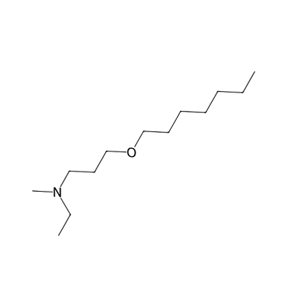 CCCCCCCOCCCN(C)CC